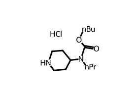 CCCCOC(=O)N(CCC)C1CCNCC1.Cl